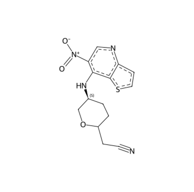 N#CCC1CC[C@H](Nc2c([N+](=O)[O-])cnc3ccsc23)CO1